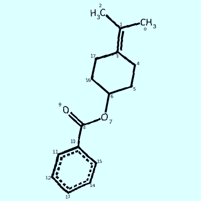 CC(C)=C1CCC(OC(=O)c2ccccc2)CC1